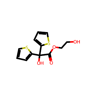 O=C(OCCO)C(O)(c1cccs1)c1cccs1